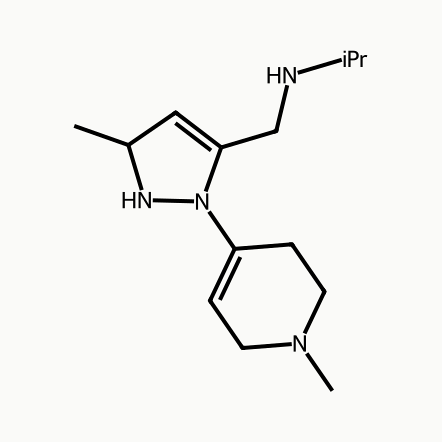 CC(C)NCC1=CC(C)NN1C1=CCN(C)CC1